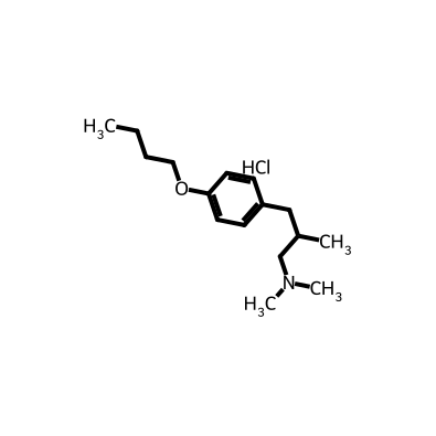 CCCCOc1ccc(CC(C)CN(C)C)cc1.Cl